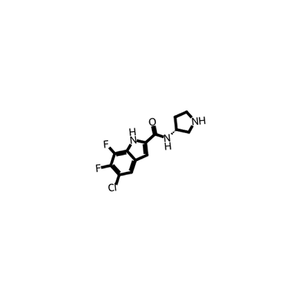 O=C(N[C@@H]1CCNC1)c1cc2cc(Cl)c(F)c(F)c2[nH]1